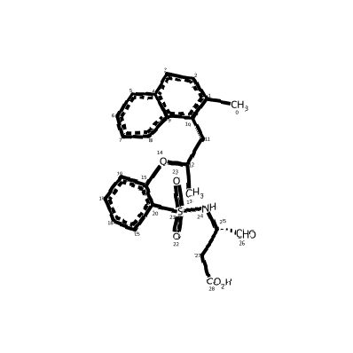 Cc1ccc2ccccc2c1CC(C)Oc1ccccc1S(=O)(=O)N[C@H](C=O)CC(=O)O